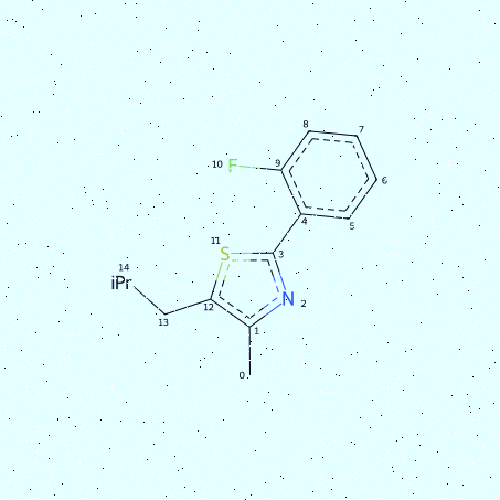 Cc1nc(-c2ccccc2F)sc1CC(C)C